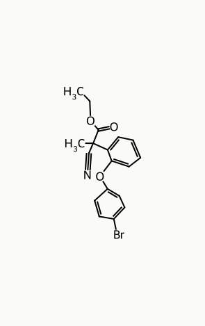 CCOC(=O)C(C)(C#N)c1ccccc1Oc1ccc(Br)cc1